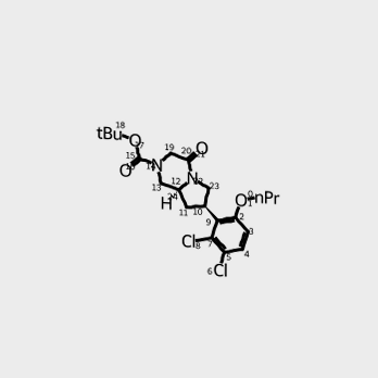 CCCOc1ccc(Cl)c(Cl)c1[C@H]1C[C@H]2CN(C(=O)OC(C)(C)C)CC(=O)N2C1